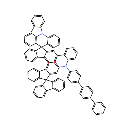 c1ccc(-c2ccc(-c3ccc(N(c4ccc5c(c4)C4(c6ccccc6-c6ccccc64)c4ccccc4-5)c4ccccc4-c4ccc5c(c4)C4(c6ccccc6-5)c5ccccc5-n5c6ccccc6c6cccc4c65)cc3)cc2)cc1